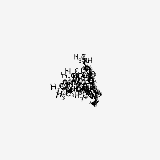 CCC(C)C(C(CC(=O)N1CCCC1C(OC)C(C)C(=O)NC(Cc1ccc(OC(=O)N2CCC(CNC)CC2)cc1)C(=O)NSC1CC1)OC)N(C)C(=O)CNC(=O)C(C(C)C)N(C)C